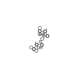 Cc1cc(-c2ccccc2O[C@H]2CC[C@@H](Oc3ccccc3-c3cc(C)cc(-c4c5c(cc6c4CCCC6)CCCC5)c3O)CC2)c(O)c(-c2c3c(cc4c2CCCC4)CCCC3)c1